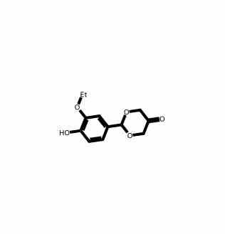 CCOc1cc(C2OCC(=O)CO2)ccc1O